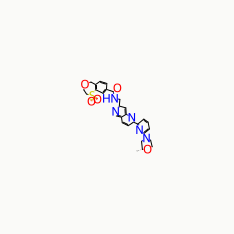 C[C@@H]1CN(c2cccc(-c3ccc4cnc(CNC(=O)c5ccc6c(c5)S(=O)(=O)CCOC6)cc4n3)n2)CCO1